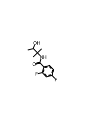 CC(O)C(C)(C)NC(=O)c1ccc(F)cc1F